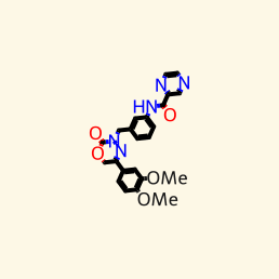 COc1ccc(C2=NN(Cc3cccc(NC(=O)c4cnccn4)c3)C(=O)OC2)cc1OC